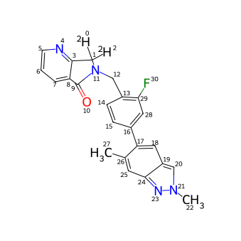 [2H]C1([2H])c2ncccc2C(=O)N1Cc1ccc(-c2cc3cn(C)nc3cc2C)cc1F